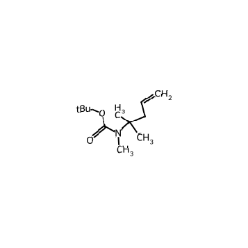 C=CCC(C)(C)N(C)C(=O)OC(C)(C)C